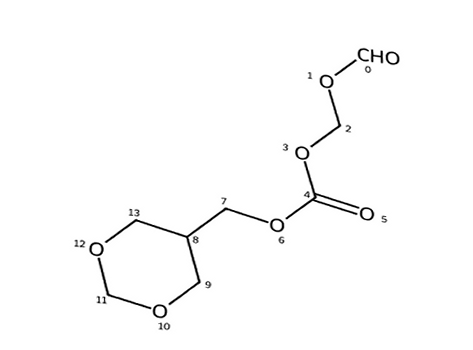 O=COCOC(=O)OCC1COCOC1